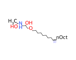 CCCCCCCC/C=C\CCCCCCCCOCC(O)CNC(C)O